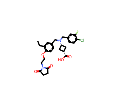 CCc1cc(CN(Cc2ccc(Cl)c(F)c2)[C@H]2C[C@@H](C(=O)O)C2)ccc1OCCN1C(=O)CCC1=O